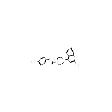 Cc1ccc(NC(=O)N2CCN(c3cc(N)nc4cc(Cl)ccc34)CC2)cc1